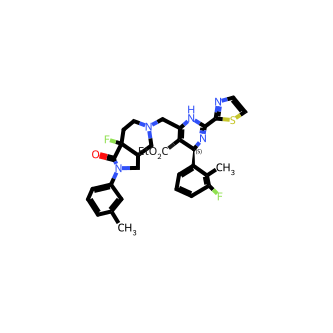 CCOC(=O)C1=C(CN2CCC3(F)C(=O)N(c4cccc(C)c4)CC3C2)NC(c2nccs2)=N[C@H]1c1cccc(F)c1C